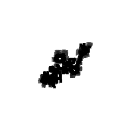 CC(NC(=O)c1cnn2cccnc12)c1nc2cccc(C#Cc3cnn(C)c3)c2c(=O)n1-c1ccccc1